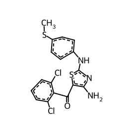 CSc1ccc(Nc2nc(N)c(C(=O)c3c(Cl)cccc3Cl)s2)cc1